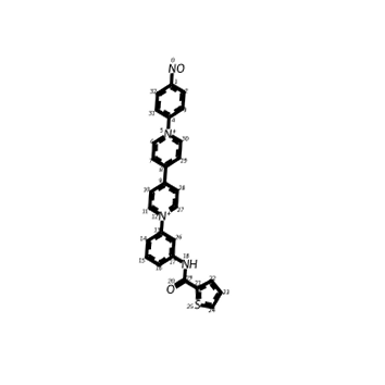 O=Nc1ccc(-[n+]2ccc(-c3cc[n+](-c4cccc(NC(=O)c5cccs5)c4)cc3)cc2)cc1